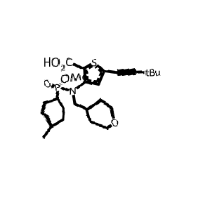 COP(=O)(C1CCC(C)CC1)N(CC1CCOCC1)c1cc(C#CC(C)(C)C)sc1C(=O)O